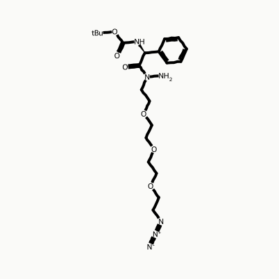 CC(C)(C)OC(=O)N[C@H](C(=O)N(N)CCOCCOCCOCCN=[N+]=[N-])c1ccccc1